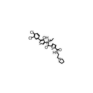 CC=NN(C(=O)c1ccc(C(=O)NCCN2CCCC2)s1)c1csc(-c2ccc(Cl)c(Cl)c2)c1O